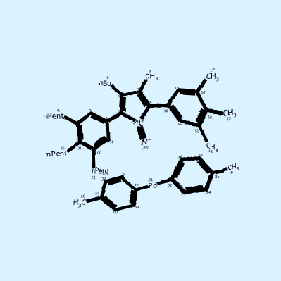 CCCCCc1cc(C2=C(CCCC)C(C)=C(c3cc(C)c(C)c(C)c3)[N+]2=[N-])cc(CCCCC)c1CCCCC.Cc1cc[c]([Pd][c]2ccc(C)cc2)cc1